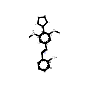 COc1cc(/C=C/c2ccccc2Cl)cc(OC)c1C1CCCC1